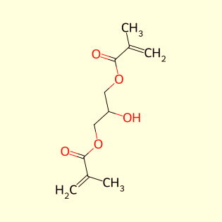 C=C(C)C(=O)OCC(O)COC(=O)C(=C)C